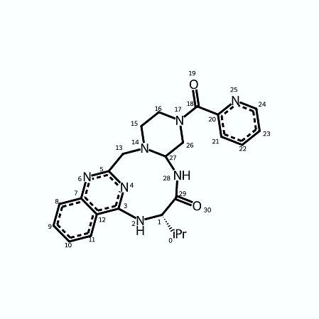 CC(C)[C@@H]1Nc2nc(nc3ccccc23)CN2CCN(C(=O)c3ccccn3)CC2NC1=O